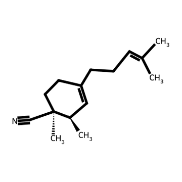 CC(C)=CCCC1=C[C@@H](C)[C@@](C)(C#N)CC1